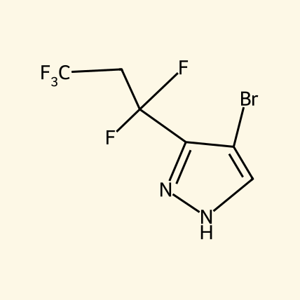 FC(F)(F)CC(F)(F)c1n[nH]cc1Br